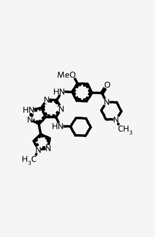 COc1cc(C(=O)N2CCN(C)CC2)ccc1Nc1nc(NC2CCCCC2)c2c(-c3cnn(C)c3)n[nH]c2n1